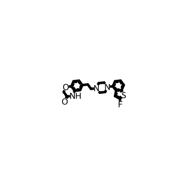 O=C1COc2ccc(CCN3CCN(c4cccc5sc(F)cc45)CC3)cc2N1